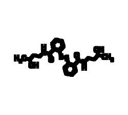 CC(O)CCNC(=O)c1ccccc1SSc1ccccc1C(=O)NCCC(C)O